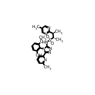 COc1cccc(O)c1-n1c(NS(=O)(=O)[C@@H](C)[C@H](C)c2ncc(C)cn2)nnc1C1=C=C=CC(C)=N1